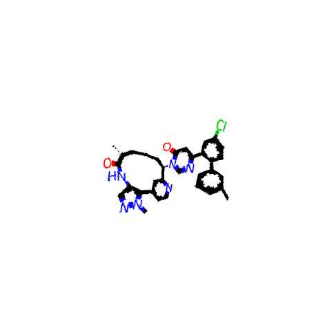 Cc1cccc(-c2ccc(Cl)cc2-c2cc(=O)n([C@H]3CCC[C@@H](C)C(=O)Nc4cnn(C)c4-c4ccnc3c4)cn2)c1